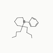 CCCCC1(CCCC)CCCCB1c1ccccc1